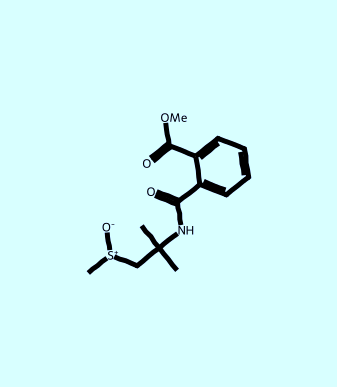 COC(=O)c1ccccc1C(=O)NC(C)(C)C[S+](C)[O-]